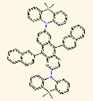 C[Si]1(C)c2ccccc2N(c2ccc3c(-c4ccc5ccccc5c4)c4cc(N5c6ccccc6[Si](C)(C)c6ccccc65)ccc4c(-c4ccc5ccccc5c4)c3c2)c2ccccc21